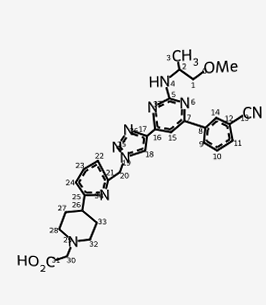 COCC(C)Nc1nc(-c2cccc(C#N)c2)cc(-c2cn(Cc3cccc(C4CCN(CC(=O)O)CC4)n3)nn2)n1